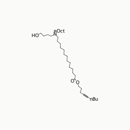 CCCCC#CCCCOC(=O)CCCCCCCCCCCCCN(CCCCO)CCCCCCCC